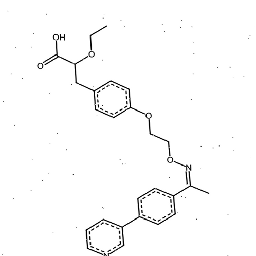 CCOC(Cc1ccc(OCCON=C(C)c2ccc(-c3cccnc3)cc2)cc1)C(=O)O